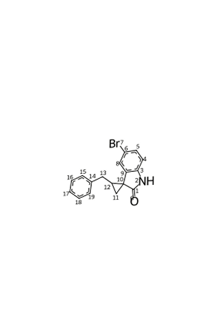 O=C1Nc2ccc(Br)cc2C12CC2Cc1ccccc1